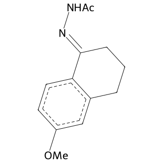 COc1ccc2c(c1)CCC/C2=N\NC(C)=O